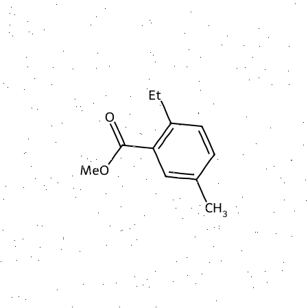 CCc1ccc(C)cc1C(=O)OC